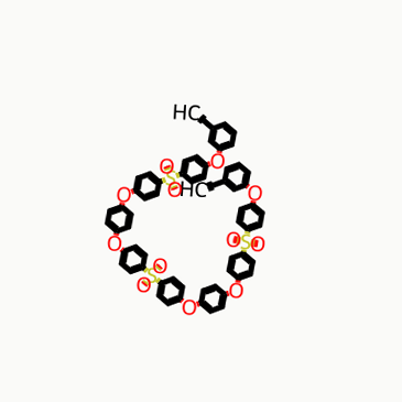 C#Cc1cccc(Oc2ccc(S(=O)(=O)c3ccc(Oc4ccc(Oc5ccc(S(=O)(=O)c6ccc(Oc7ccc(Oc8ccc(S(=O)(=O)c9ccc(Oc%10cccc(C#C)c%10)cc9)cc8)cc7)cc6)cc5)cc4)cc3)cc2)c1